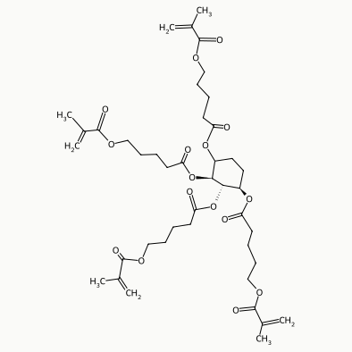 C=C(C)C(=O)OCCCCC(=O)OC1CC[C@@H](OC(=O)CCCCOC(=O)C(=C)C)[C@H](OC(=O)CCCCOC(=O)C(=C)C)[C@H]1OC(=O)CCCCOC(=O)C(=C)C